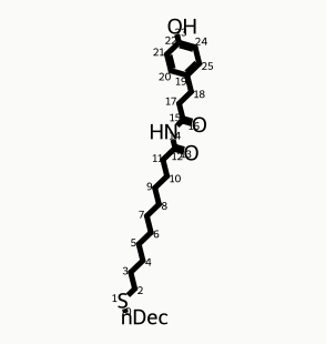 CCCCCCCCCCSCCCCCCCCCCC(=O)NC(=O)CCc1ccc(O)cc1